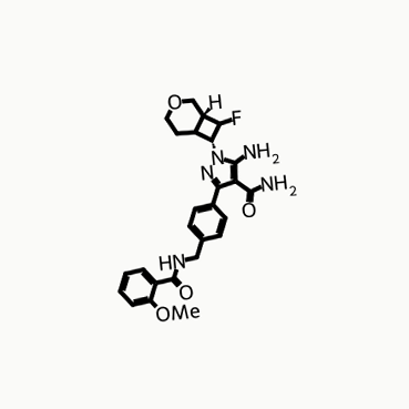 COc1ccccc1C(=O)NCc1ccc(-c2nn([C@H]3C(F)[C@H]4COCCC43)c(N)c2C(N)=O)cc1